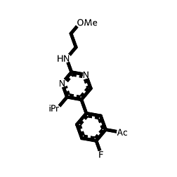 COCCNc1ncc(-c2ccc(F)c(C(C)=O)c2)c(C(C)C)n1